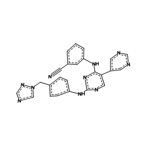 N#Cc1cccc(Nc2nc(Nc3ccc(Cn4cncn4)cc3)ncc2-c2cncnc2)c1